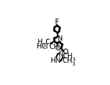 CC(C)c1cc(-c2ccc(F)cc2)nc2cc(C(=O)N3CCNCC3(C)C)oc12.Cl